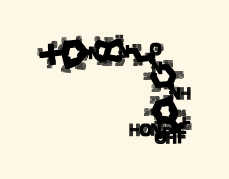 CC(C)(C)c1ccc(N2CC3CN(CCC(=O)N4CCC(Nc5ccc(N(O)O)c(C(F)(F)F)c5)CC4)CC3C2)cc1